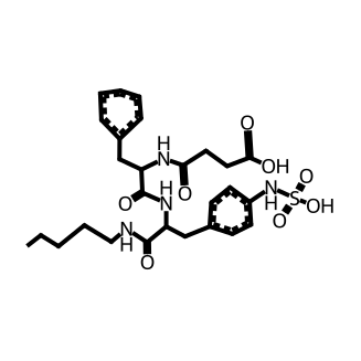 CCCCCNC(=O)C(Cc1ccc(NS(=O)(=O)O)cc1)NC(=O)C(Cc1ccccc1)NC(=O)CCC(=O)O